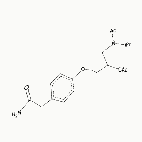 CC(=O)OC(COc1ccc(CC(N)=O)cc1)CN(C(C)=O)C(C)C